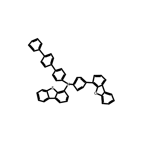 c1ccc(-c2ccc(-c3ccc(N(c4ccc(-c5cccc6c5oc5ccccc56)cc4)c4cccc5c4sc4ccccc45)cc3)cc2)cc1